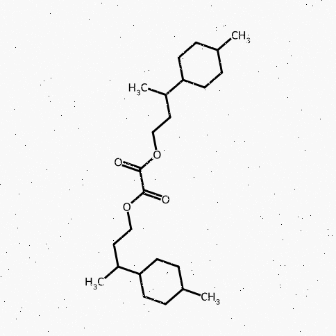 CC1CCC(C(C)CCOC(=O)C(=O)OCCC(C)C2CCC(C)CC2)CC1